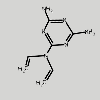 C=CN(C=C)c1nc(N)nc(N)n1